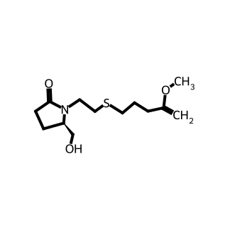 C=C(CCCSCCN1C(=O)CC[C@@H]1CO)OC